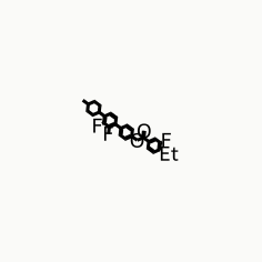 CCc1ccc(C(=O)Oc2ccc(-c3ccc(C4CCC(C)CC4)c(F)c3F)cc2)cc1F